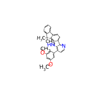 COc1cc(OC)cc(-c2ccnc3c2[nH]c2c4c(ccc23)-c2ccccc2C4(C)C)c1